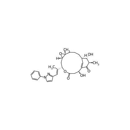 C/C(=C\c1ccn(-c2ccccc2)n1)[C@@H]1C[C@@H]2O[C@]2(C)CCC[C@@H]2C=C(C(=O)[C@H](C)[C@H]2O)[C@@H](O)CC(=O)O1